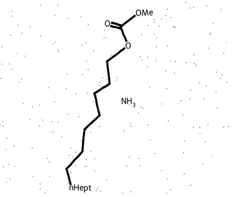 CCCCCCCCCCCCCCOC(=O)OC.N